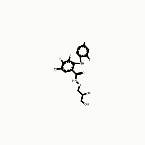 O=C(NOCC(O)CO)c1cc(Cl)c(F)c(F)c1Nc1ccc(I)cc1F